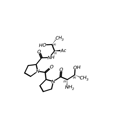 CC(=O)[C@@H](NC(=O)C1CCCN1C(=O)C1CCCN1C(=O)[C@@H](N)[C@@H](C)O)[C@@H](C)O